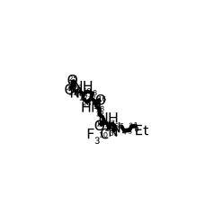 CC/C=C\C=C/Cn1cc(C(=O)NCCNC(=O)C2CCC(c3noc(=O)[nH]3)CC2)c(C(F)(F)F)n1